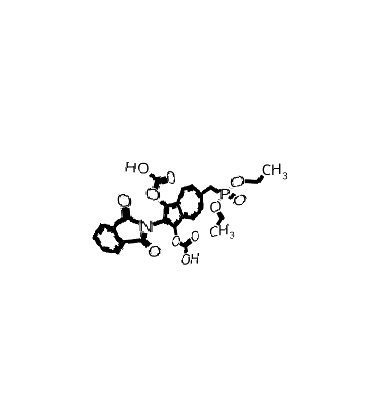 CCOP(=O)(Cc1ccc2c(OC(=O)O)c(N3C(=O)c4ccccc4C3=O)c(OC(=O)O)c-2cc1)OCC